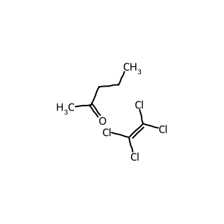 CCCC(C)=O.ClC(Cl)=C(Cl)Cl